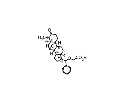 CCOC(=O)COC(c1ccccc1)[C@H]1CC[C@H]2[C@@H]3CC[C@H]4N(C)C(=O)CC[C@]4(C)[C@H]3CC[C@]12C